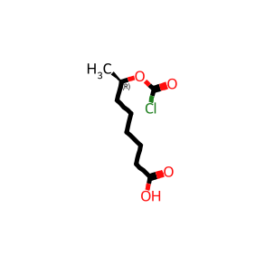 C[C@H](CCCCCC(=O)O)OC(=O)Cl